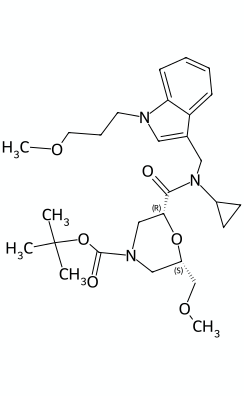 COCCCn1cc(CN(C(=O)[C@H]2CN(C(=O)OC(C)(C)C)C[C@@H](COC)O2)C2CC2)c2ccccc21